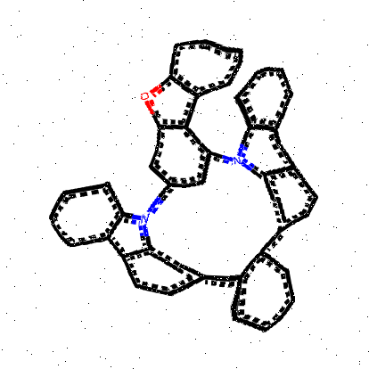 c1ccc2c(c1)oc1cc3cc(c12)n1c2ccccc2c2ccc(cc21)c1ccccc1c1ccc2c4ccccc4n3c2c1